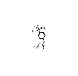 CC(C)(C)c1ccc(C/C(=C/F)CN)cc1